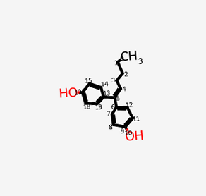 CCCCC=C(c1ccc(O)cc1)c1ccc(O)cc1